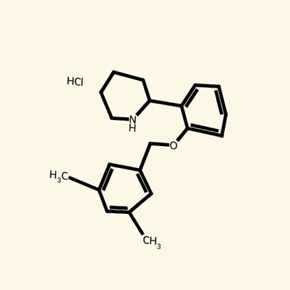 Cc1cc(C)cc(COc2ccccc2C2CCCCN2)c1.Cl